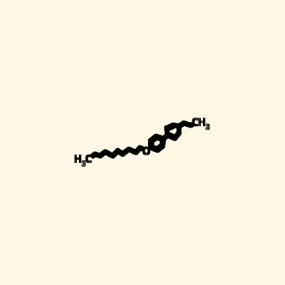 CCCCCCCCCCOc1ccc(C2=CCC(CCC)C=C2)cc1